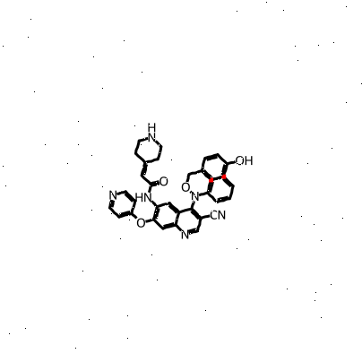 N#Cc1cnc2cc(Oc3ccncc3)c(NC(=O)C=C3CCNCC3)cc2c1N(OCc1ccc(O)cc1)c1ccccc1